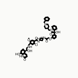 COc1cc(C(=O)NC2CC(NC(=O)COc3cccc([C@](O)(C(=O)OCC4CCN(Cc5ccccc5)CC4)c4ccccc4)c3)C2)c(Cl)cc1CNC[C@H](O)c1ccc(O)c2[nH]c(=O)ccc12